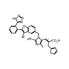 CCCc1nc(C)c(/C=C(\Cc2cccs2)C(=O)O)n1Cc1ccc2oc(-c3ccccc3-c3nnn[nH]3)c(Br)c2c1